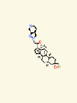 C[C@]12CC[C@H]3[C@@H](CC[C@@H]4C[C@@](O)(CF)CC[C@@H]43)[C@@H]1CC[C@@H]2C(=O)Cn1cc2ccncc2n1